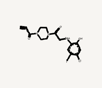 C=CC(=O)N1CCN(C(=O)CNc2cc(I)c(Cl)cc2O)CC1